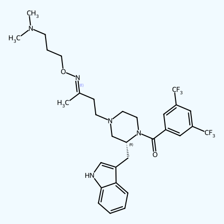 C/C(CCN1CCN(C(=O)c2cc(C(F)(F)F)cc(C(F)(F)F)c2)[C@H](Cc2c[nH]c3ccccc23)C1)=N\OCCCN(C)C